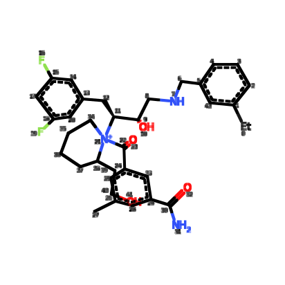 CCc1cccc(CNC[C@@H](O)[C@H](Cc2cc(F)cc(F)c2)[N+]2(C(=O)c3cc(C)cc(C(N)=O)c3)CCCCC2CCO)c1